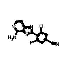 N#Cc1cc(F)c(-c2nc3ccnc(N)c3s2)c(Cl)c1